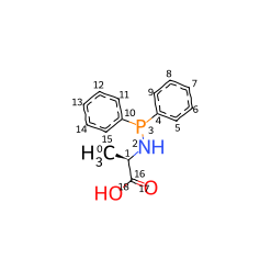 C[C@@H](NP(c1ccccc1)c1ccccc1)C(=O)O